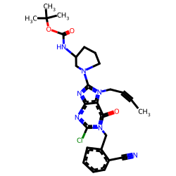 CC#CCn1c(N2CCCC(NC(=O)OC(C)(C)C)C2)nc2nc(Cl)n(Cc3ccccc3C#N)c(=O)c21